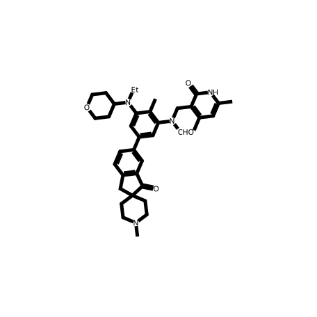 CCN(c1cc(-c2ccc3c(c2)C(=O)C2(CCN(C)CC2)C3)cc(N(C=O)Cc2c(C)cc(C)[nH]c2=O)c1C)C1CCOCC1